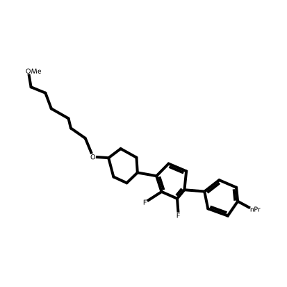 CCCc1ccc(-c2ccc(C3CCC(OCCCCCCOC)CC3)c(F)c2F)cc1